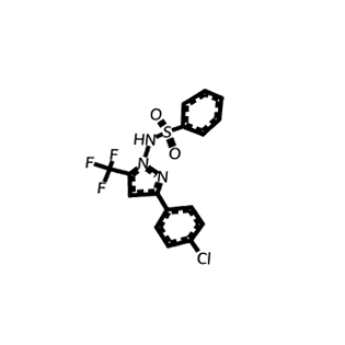 O=S(=O)(Nn1nc(-c2ccc(Cl)cc2)cc1C(F)(F)F)c1ccccc1